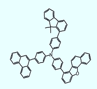 CC1(C)c2ccccc2-c2cccc(-c3ccc(N(c4ccc(-c5cc6ccccc6c6ccccc56)cc4)c4ccc(-c5cccc6oc7c8ccccc8ccc7c56)cc4)cc3)c21